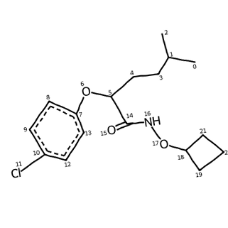 CC(C)CCC(Oc1ccc(Cl)cc1)C(=O)NOC1CCC1